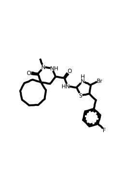 CN1NC(C(=O)NC2NC(Br)C(Cc3cccc(F)c3)S2)CC2(CCCCCCCC2)C1=O